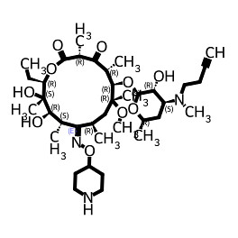 C#CCCN(C)[C@H]1C[C@@H](C)O[C@@H](O[C@@H]2[C@@H](C)C(=O)[C@@H](C)C(=O)O[C@H](CC)[C@@](C)(O)[C@H](O)[C@@H](C)/C(=N/OC3CCNCC3)[C@H](C)C[C@@]2(C)OC)[C@@H]1O